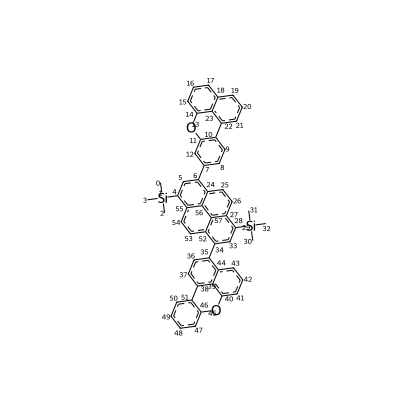 C[Si](C)(C)c1cc(-c2ccc3c(c2)Oc2cccc4cccc-3c24)c2ccc3c([Si](C)(C)C)cc(-c4ccc5c6c(cccc46)Oc4ccccc4-5)c4ccc1c2c43